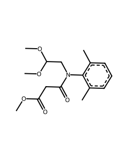 COC(=O)CC(=O)N(CC(OC)OC)c1c(C)cccc1C